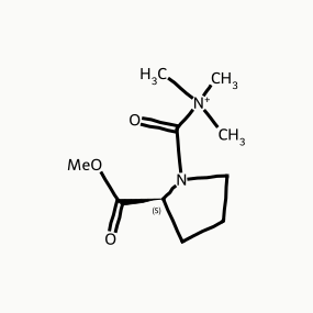 COC(=O)[C@@H]1CCCN1C(=O)[N+](C)(C)C